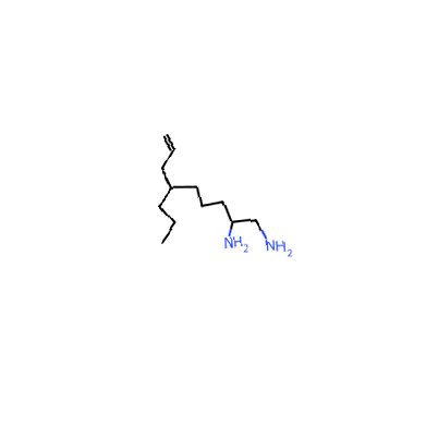 C=CCC(CCC)CCCC(N)CN